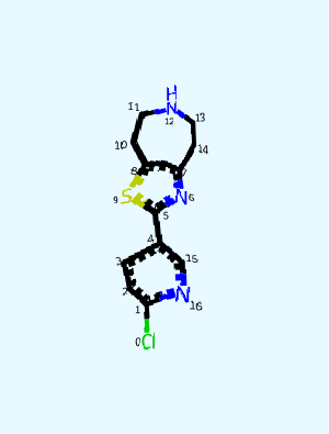 Clc1ccc(-c2nc3c(s2)CCNCC3)cn1